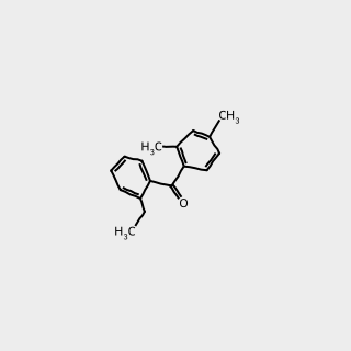 CCc1ccccc1C(=O)c1ccc(C)cc1C